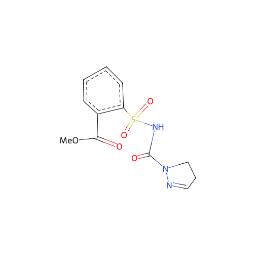 COC(=O)c1ccccc1S(=O)(=O)NC(=O)N1CCC=N1